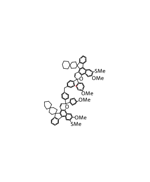 COc1ccc(C2(c3ccc(Cc4ccc(C5(c6ccc(OC)cc6)C=Cc6c7c(c8cc(SC)c(OC)cc8c6O5)-c5ccccc5C75CCC6(CCCCC6)CC5)cc4)cc3)C=Cc3c4c(c5cc(SC)c(OC)cc5c3O2)-c2ccccc2C42CCC3(CCCCC3)CC2)cc1